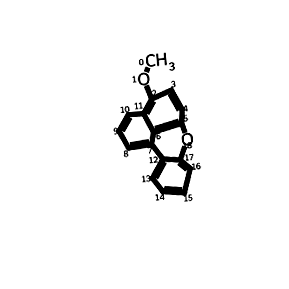 COc1ccc2c3c(cccc13)-c1ccccc1O2